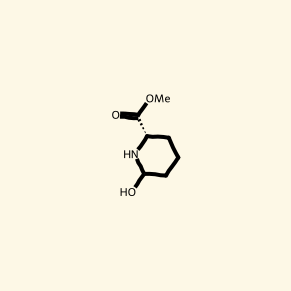 COC(=O)[C@@H]1CCCC(O)N1